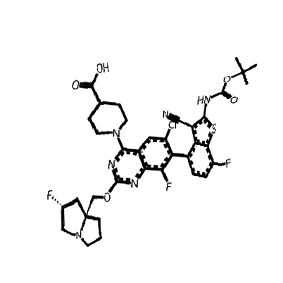 CC(C)(C)OC(=O)Nc1sc2c(F)ccc(-c3c(Cl)cc4c(N5CCC(C(=O)O)CC5)nc(OC[C@@]56CCCN5C[C@H](F)C6)nc4c3F)c2c1C#N